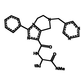 CNC(=O)C(NC(=O)c1nc(-c2ccccc2)n2c1CN(Cc1cncnc1)CC2)C(C)(C)C